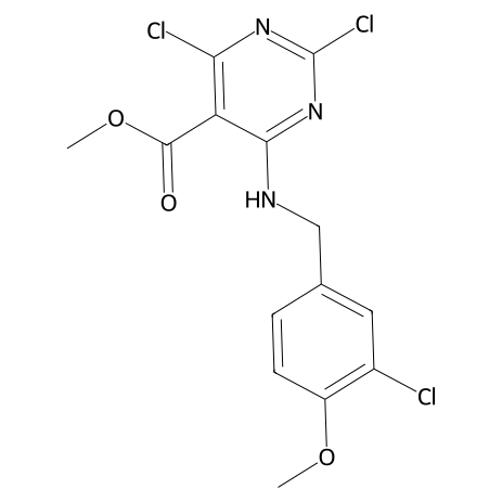 COC(=O)c1c(Cl)nc(Cl)nc1NCc1ccc(OC)c(Cl)c1